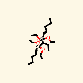 CCCC=C[Si](OCC)(OCC)C(CC)[Si](C=CCCC)(OCC)OCC